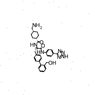 NC[C@H]1CC[C@H](C(=O)N[C@@H](Cc2ccc(-c3ccccc3CO)cc2)C(=O)Nc2ccc(-c3nn[nH]n3)cc2)CC1